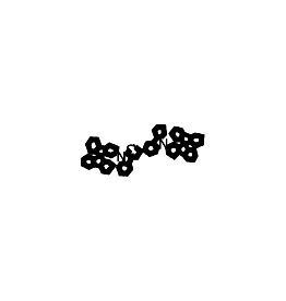 c1ccc2c(c1)-c1ccccc1C21c2ccccc2-c2ccc(-n3c4ccccc4c4cc(-c5ccc6c(c5)c5ccccc5n6-c5ccc6c(c5)C5(c7ccccc7-c7ccccc75)c5ccccc5-6)ccc43)cc21